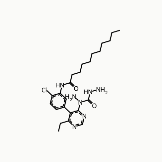 CCCCCCCCCCC(=O)Nc1cc(-c2c(CC)ncnc2N(N)C(=O)NN)ccc1Cl